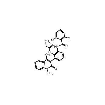 CCC(=O)Oc1c(NC(=O)c2c(Cl)cccc2Cl)cccc1-c1c(O)c2ccccc2n(C)c1=O